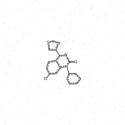 O=c1nc(-c2cscn2)c2ccc(Cl)cc2n1-c1ccccc1